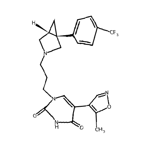 Cc1oncc1-c1cn(CCCN2C[C@@H]3C[C@]3(c3ccc(C(F)(F)F)cc3)C2)c(=O)[nH]c1=O